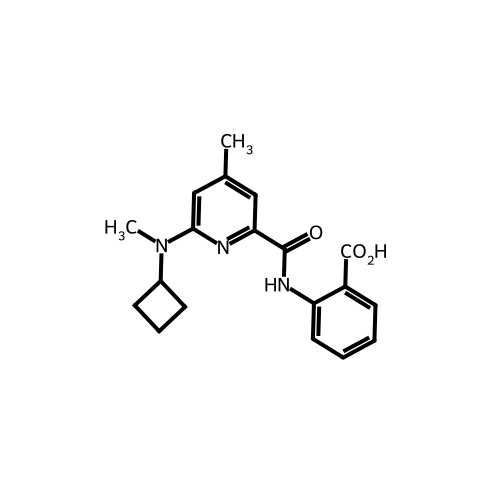 Cc1cc(C(=O)Nc2ccccc2C(=O)O)nc(N(C)C2CCC2)c1